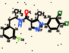 Cc1c(C(=O)N[C@@H](C)Cc2cccc(F)c2)cnn1-c1ccc(Cl)c(Cl)c1